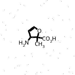 CC1(C(=O)O)OC=CC1N